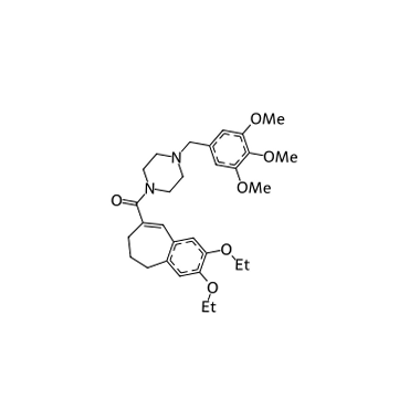 CCOc1cc2c(cc1OCC)CCCC(C(=O)N1CCN(Cc3cc(OC)c(OC)c(OC)c3)CC1)=C2